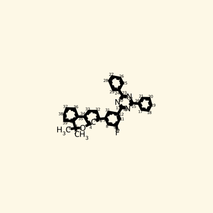 CC1(C)Oc2cc(-c3cc(F)cc(-c4nc(-c5ccccc5)nc(-c5ccccc5)n4)c3)ccc2-c2ccccc21